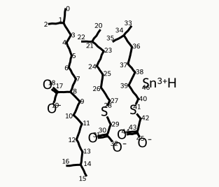 CC(C)CCCCCC(CCCCCC(C)C)C(=O)[O-].CC(C)CCCCCSCC(=O)[O-].CC(C)CCCCCSCC(=O)[O-].[SnH+3]